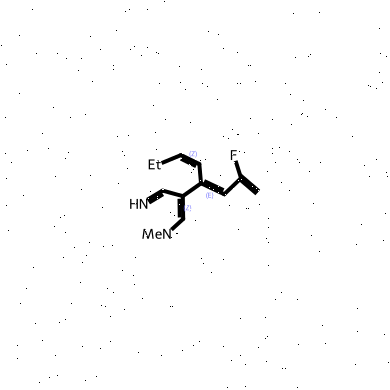 C=C(F)/C=C(\C=C/CC)C(/C=N)=C/NC